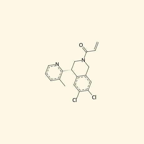 C=CC(=O)N1Cc2cc(Cl)c(Cl)cc2[C@H](c2ncccc2C)C1